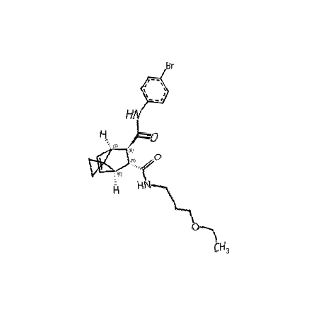 CCOCCCNC(=O)[C@H]1[C@H](C(=O)Nc2ccc(Br)cc2)[C@@H]2C=C[C@H]1C21CC1